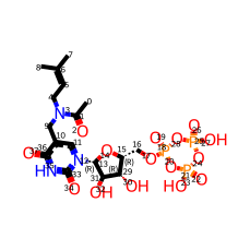 CC(=O)N(CC=C(C)C)Cc1cn([C@@H]2O[C@H](COP3(=O)OP(=O)(O)OP(=O)(O)O3)[C@H](O)C2O)c(=O)[nH]c1=O